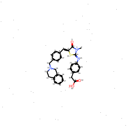 CN1C(=O)C(=Cc2ccc(CN3CCc4ccccc4C3)cc2)SC1=Nc1ccc(CC(=O)O)cc1